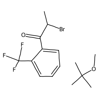 CC(Br)C(=O)c1ccccc1C(F)(F)F.COC(C)(C)C